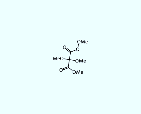 COOC(=O)C(OC)(OC)C(=O)OC